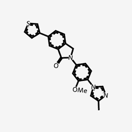 COc1cc(N2Cc3ccc(-c4ccsc4)cc3C2=O)ccc1-n1cnc(C)c1